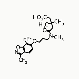 CCCc1c(OCCCN(C)C(=O)CC(C)(C)CC(=O)O)ccc2c(C(F)(F)F)noc12